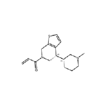 C=CC(=O)N1Cc2sccc2[C@H]([C@H]2CCCN(C)C2)C1